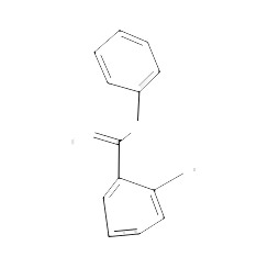 O=C(Oc1ccccc1)c1ccccc1O.[LiH]